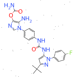 CC(C)(C)c1cc(NC(=O)Nc2ccc(-n3cnc(OC(N)=O)c3N)cc2)n(-c2ccc(F)cc2)n1